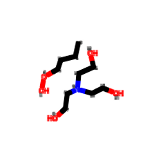 CCCCOO.OCCN(CCO)CCO